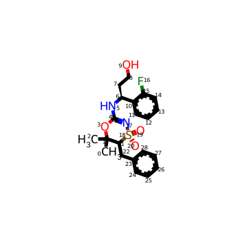 CC1(C)OC(N[C@@H](CCO)c2ccccc2F)=NS(=O)(=O)C1Cc1ccccc1